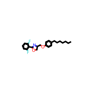 CCCCCCCc1ccc(OCC2COC(c3c(F)cccc3F)=N2)cc1